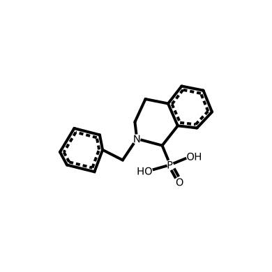 O=P(O)(O)C1c2ccccc2CCN1Cc1ccccc1